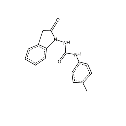 Cc1ccc(NC(=O)NN2C(=O)Cc3ccccc32)cc1